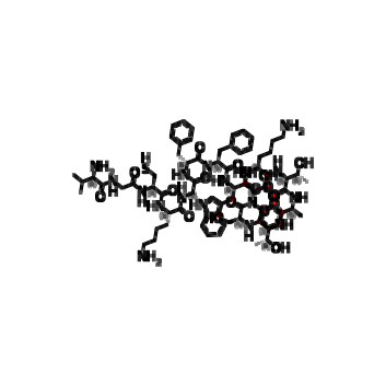 CC(C)[C@@H](N)C(=O)NCC(=O)N[C@@H](CS)C(=O)N[C@@H](CCCCN)C(=O)N[C@@H](C)C(=O)N[C@H](Cc1ccccc1)C(=O)N[C@@H](Cc1ccccc1)C(=O)N[C@H](Cc1c[nH]c2ccccc12)C(=O)N[C@@H](CCCCN)C(=O)N[C@H](C(=O)N[C@@H](C)C(=O)N[C@H](C(=O)N[C@@H](CO)C(=O)N(c1ccccc1)[C@@H](CS)C(=O)O)[C@@H](C)O)[C@@H](C)O